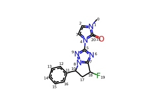 Cn1ccn(-c2nc3n(n2)C(c2ccccc2)CC3F)c1=O